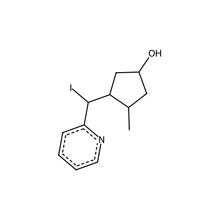 CC1CC(O)CC1C(I)c1ccccn1